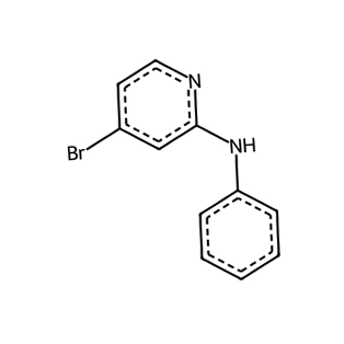 Brc1ccnc(Nc2ccccc2)c1